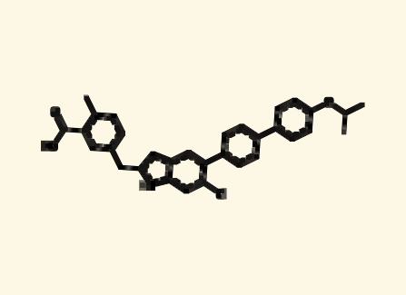 Cc1ccc(Cc2cc3cc(-c4ccc(-c5ccc(OC(C)C)cc5)cc4)c(Cl)cc3[nH]2)cc1C(=O)O